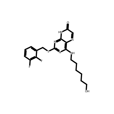 O=c1cnc2c(NCCCCCCO)nc(SCc3cccc(F)c3F)nc2[nH]1